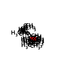 CC(C)C(C)C(C)C(C)C(C)[SiH](O[Si](CCCc1ccc(CO[C@@H]2[C@H]3OC(C)(C)O[C@H]3O[C@@H]2C2COC(C)(C)O2)cc1)(OC(C)(C)C)OC(C)(C)C)C(C)C(C)C(C)C(C)C